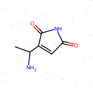 CC(N)C1=CC(=O)NC1=O